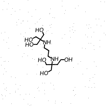 OCCC(CO)(CO)NCCCNC(CO)(CO)CO